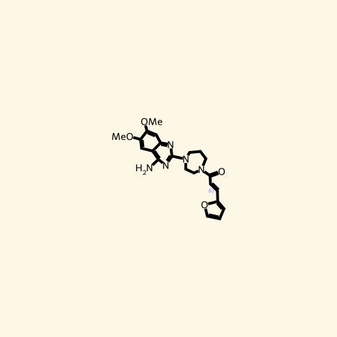 COc1cc2nc(N3CCCN(C(=O)/C=C/c4ccco4)CC3)nc(N)c2cc1OC